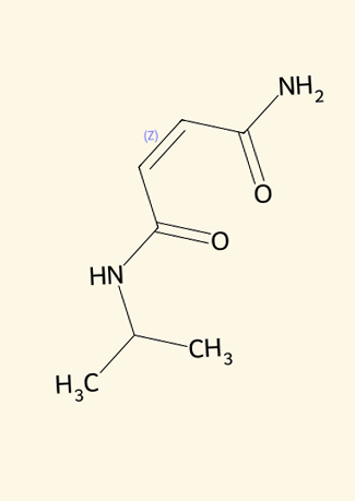 CC(C)NC(=O)/C=C\C(N)=O